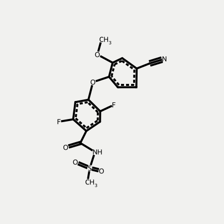 COc1cc(C#N)ccc1Oc1cc(F)c(C(=O)NS(C)(=O)=O)cc1F